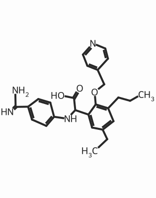 CCCc1cc(CC)cc(C(Nc2ccc(C(=N)N)cc2)C(=O)O)c1OCc1ccncc1